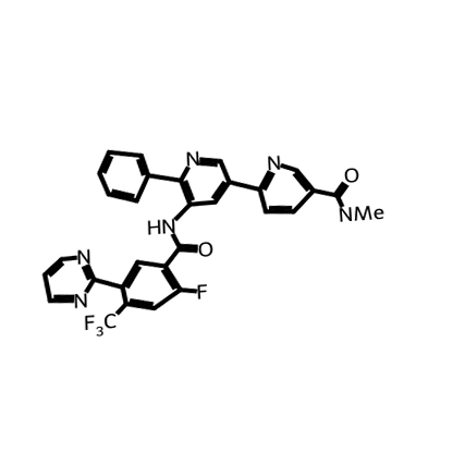 CNC(=O)c1ccc(-c2cnc(-c3ccccc3)c(NC(=O)c3cc(-c4ncccn4)c(C(F)(F)F)cc3F)c2)nc1